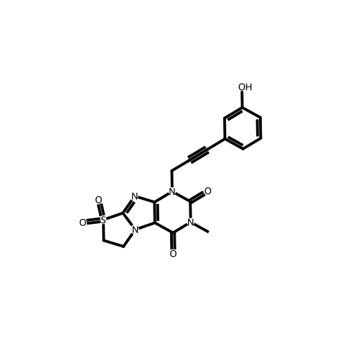 Cn1c(=O)c2c(nc3n2CCS3(=O)=O)n(CC#Cc2cccc(O)c2)c1=O